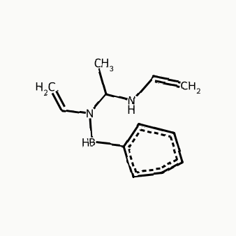 C=CNC(C)N(Bc1ccccc1)C=C